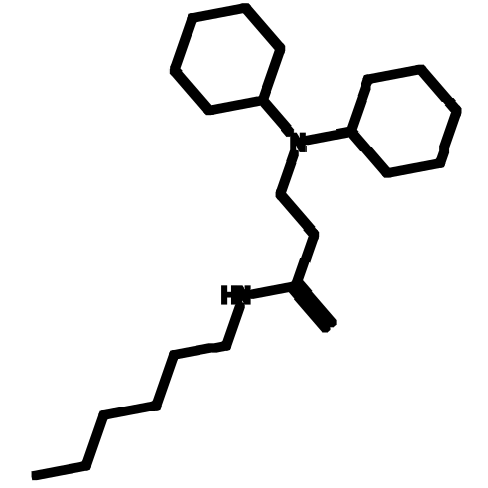 C=C(CCN(C1CCCCC1)C1CCCCC1)NCCCCCC